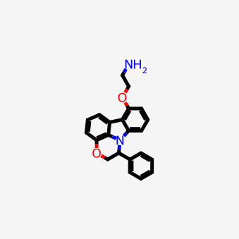 NCCOc1cccc2c1c1cccc3c1n2C(c1ccccc1)CO3